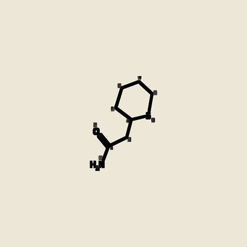 NC(=O)CC1CCCCS1